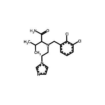 CC(C)C(C(N)=O)N(CCn1ccnc1)Cc1cccc(Cl)c1Cl